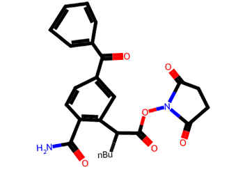 CCCCC(C(=O)ON1C(=O)CCC1=O)c1cc(C(=O)c2ccccc2)ccc1C(N)=O